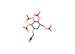 CC(=O)OCC1CC(SCC#N)C(OC(C)=O)C(OC(C)=O)C1OC(C)=O